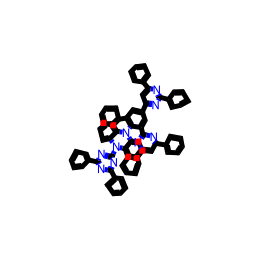 c1ccc(-c2cc(-c3cc(-c4ccccc4)c(N4c5ccccc5N(c5nc(-c6ccccc6)nc(-c6ccccc6)n5)c5ccccc54)c(-c4nc(-c5ccccc5)cc(-c5ccccc5)n4)c3)nc(-c3ccccc3)n2)cc1